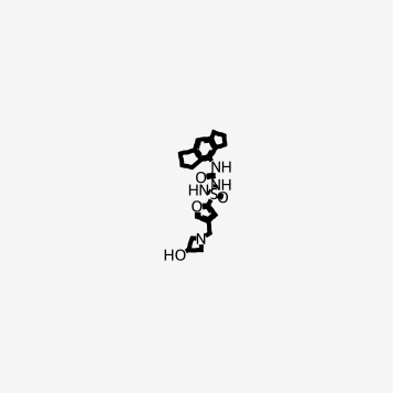 N=S(=O)(NC(=O)Nc1c2c(cc3c1CCC3)CCC2)c1cc(CN2CC(O)C2)co1